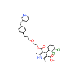 COC(=O)C1=C(C)NC(C)=C(C(=O)OCCOCC=Cc2ccc(Cc3cccnc3)cc2)C1c1cccc(Cl)c1Cl